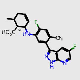 CC1CC=CC(Nc2cc(-c3n[nH]c4ncc(F)cc34)c(C#N)cc2F)[C@H]1C(=O)O